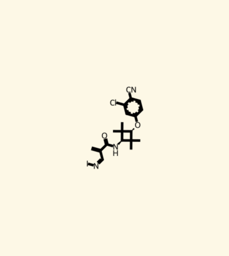 C=C(/C=N\I)C(=O)N[C@H]1C(C)(C)[C@H](Oc2ccc(C#N)c(Cl)c2)C1(C)C